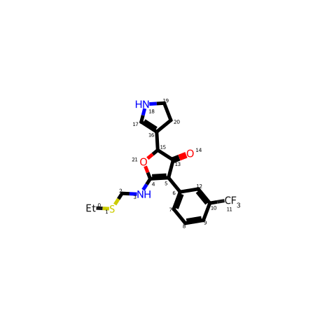 CCSCNC1=C(c2cccc(C(F)(F)F)c2)C(=O)C(C2=CNCC2)O1